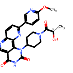 COc1ccc(-c2ccc3ncc4c(=O)[nH]c(=O)n(C5CCN(C(=O)[C@H](C)O)CC5)c4c3n2)cn1